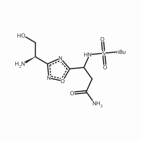 CCCCS(=O)(=O)NC(CC(N)=O)c1nc([C@@H](N)CO)no1